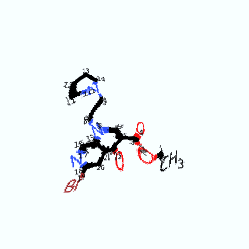 CCOC(=O)c1cn(CCN2CCCC2)c2cnc(Br)cc2c1=O